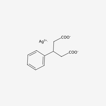 O=C([O-])CC(CC(=O)[O-])c1ccccc1.[Ag+2]